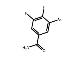 NC(=O)c1cc(F)c(F)c(Br)c1